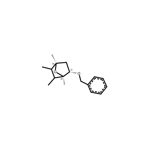 CC1C(C)[C@@]2(C)O[C@]1(C)C[C@@H]2OCc1ccccc1